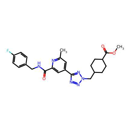 COC(=O)C1CCC(Cn2nnc(-c3cc(C)nc(C(=O)NCc4ccc(F)cc4)c3)n2)CC1